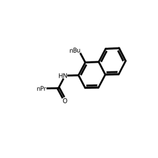 CCCCc1c(NC(=O)CCC)ccc2ccccc12